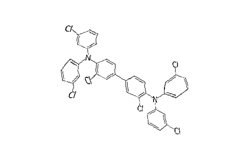 Clc1cccc(N(c2cccc(Cl)c2)c2ccc(-c3ccc(N(c4cccc(Cl)c4)c4cccc(Cl)c4)c(Cl)c3)cc2Cl)c1